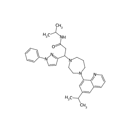 CC(C)NC(=O)CC(c1ccn(-c2ccccc2)n1)N1CCCN(c2cc(C(C)C)cc3cccnc23)CC1